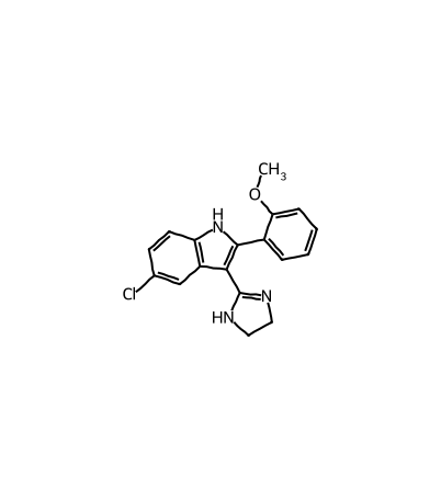 COc1ccccc1-c1[nH]c2ccc(Cl)cc2c1C1=NCCN1